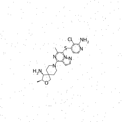 Cc1nc(N2CCC3(CC2)CO[C@@H](C)[C@H]3N)c2ccnn2c1Sc1ccnc(N)c1Cl